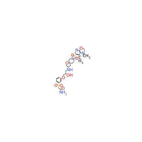 Cc1c(S(=O)(=O)N2CCC3(CC2)C[C@@H](NCC(O)COc2cccc(S(=O)(=O)CC(N)=O)c2)CO3)cnc2c1N(C)CCO2